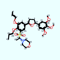 CCCOc1cc(C2CCC(c3cc(OC)c(OC)c(OC)c3)O2)cc(S(=O)(=O)C(C)N2CCOCC2)c1OCCC